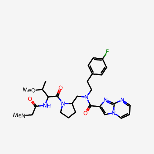 CNCC(=O)NC(C(=O)N1CCCC1CN(CCc1ccc(F)cc1)C(=O)c1cn2cccnc2n1)C(C)OC